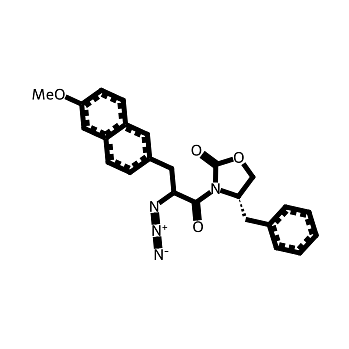 COc1ccc2cc(CC(N=[N+]=[N-])C(=O)N3C(=O)OC[C@@H]3Cc3ccccc3)ccc2c1